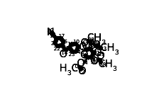 CC(=O)OC[C@H]1O[C@H](Oc2ccc(C(=O)c3ccc(C#N)cc3)cc2)[C@H](OC(C)=O)[C@@H](OC(C)=O)[C@H]1OC(C)=O